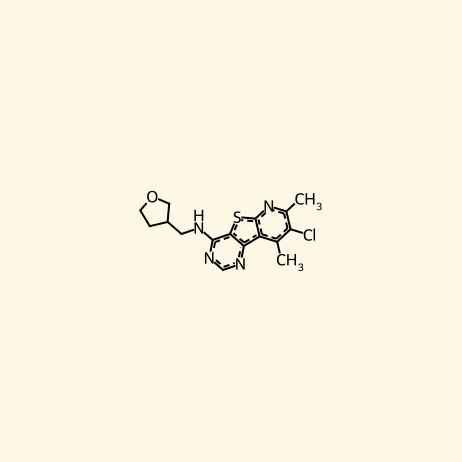 Cc1nc2sc3c(NCC4CCOC4)ncnc3c2c(C)c1Cl